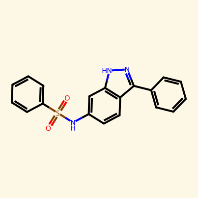 O=S(=O)(Nc1ccc2c(-c3ccccc3)n[nH]c2c1)c1ccccc1